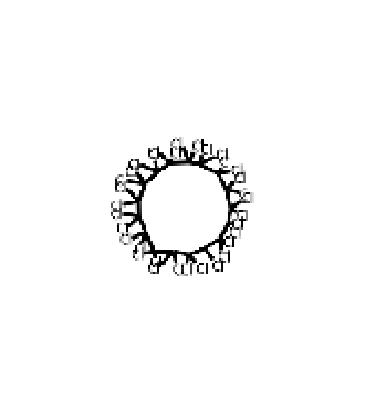 ClC1C(Cl)(Cl)C(Cl)(Cl)C(Cl)(Cl)C(Cl)(Cl)C(Cl)(Cl)C(Cl)(Cl)C(Cl)(Cl)C(Cl)(Cl)C(Cl)(Cl)C(Cl)(Cl)C(Cl)(Cl)C(Cl)(Cl)C(Cl)(Cl)C(Cl)(Cl)C(Cl)(Cl)C1(Cl)Cl